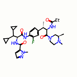 CCC(=O)N[C@@H](C(=O)N1CCN(C)[C@H](C)C1)[C@@H](C)c1ccc(NC(=O)[C@@H](NC(=O)c2ccnn2C)C(C2CC2)C2CC2)c(F)c1